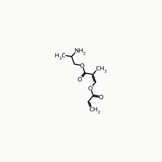 C=CC(=O)OC=C(C)C(=O)OCC(C)N